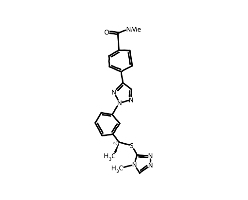 CNC(=O)c1ccc(-c2cnn(-c3cccc([C@H](C)Sc4nncn4C)c3)n2)cc1